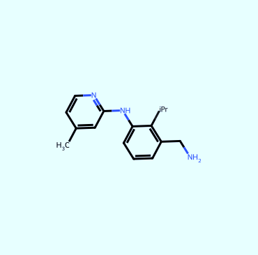 Cc1ccnc(Nc2cccc(CN)c2C(C)C)c1